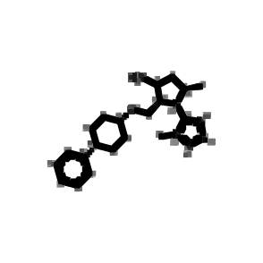 C[C@@H]1CC(N)[C@H](CO[C@H]2CC[C@@H](c3ccccc3)CC2)N1c1nnnn1C